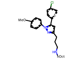 CCCCCCCCNCCCc1cc(-c2ccc(Cl)cc2)n(-c2ccc(OC)cc2)n1